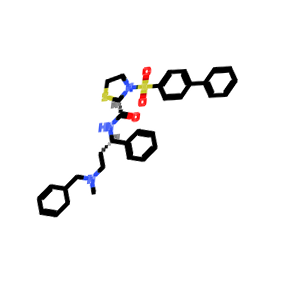 CN(CC[C@H](NC(=O)[C@@H]1SCCN1S(=O)(=O)c1ccc(-c2ccccc2)cc1)c1ccccc1)CC1C=CC=CC1